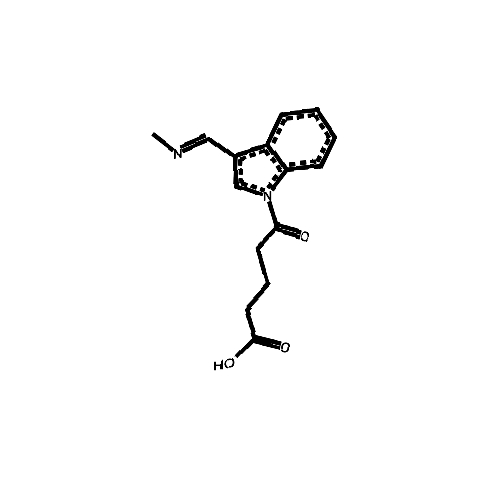 C/N=C/c1cn(C(=O)CCCC(=O)O)c2ccccc12